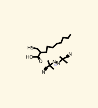 CC(C)(C#N)/N=N/C(C)(C)C#N.CCCCCCCCC(CS)C(=O)O